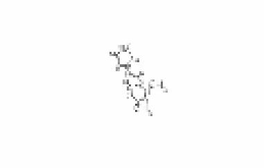 Cc1cc(C)c2c(c1)CC(c1ccccc1)=C2